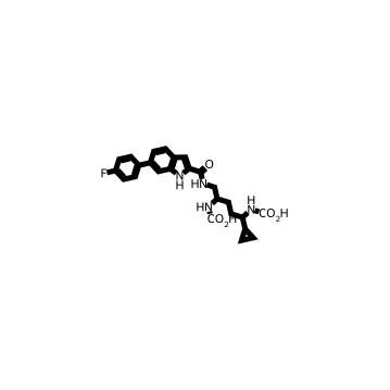 O=C(O)NC(CCC(NC(=O)O)C1CC1)CNC(=O)c1cc2ccc(-c3ccc(F)cc3)cc2[nH]1